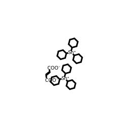 C1CC[CH]([Sn+]([CH]2CCCCC2)[CH]2CCCCC2)CC1.C1CC[CH]([Sn+]([CH]2CCCCC2)[CH]2CCCCC2)CC1.O=C([O-])C=CC(=O)[O-]